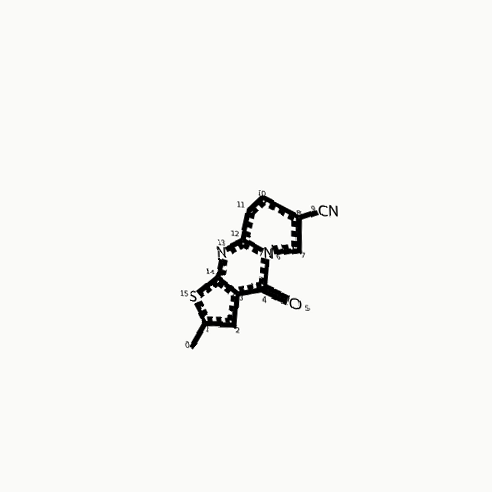 Cc1cc2c(=O)n3cc(C#N)ccc3nc2s1